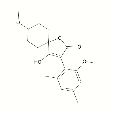 COc1cc(C)cc(C)c1C1=C(O)C2(CCC(OC)CC2)OC1=O